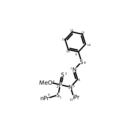 CCCSP(=S)(OC)N(C=NSc1ccccc1)C(C)C